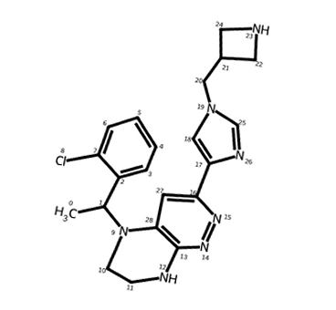 CC(c1ccccc1Cl)N1CCNc2nnc(-c3cn(CC4CNC4)cn3)cc21